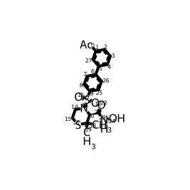 CC(=O)c1cccc(-c2ccc(S(=O)(=O)N3CCSC(C)(C)[C@@H]3C(=O)NO)cc2)c1